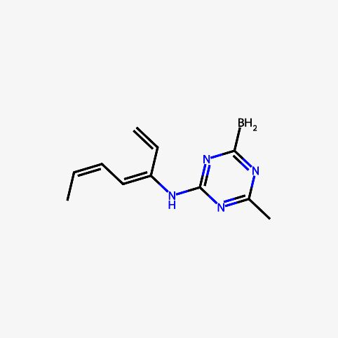 Bc1nc(C)nc(N/C(C=C)=C/C=C\C)n1